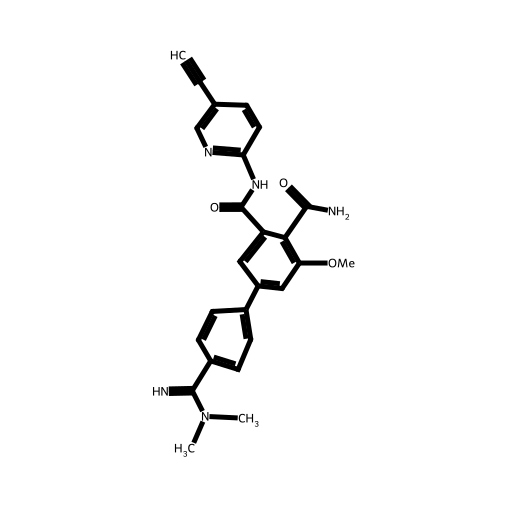 C#Cc1ccc(NC(=O)c2cc(-c3ccc(C(=N)N(C)C)cc3)cc(OC)c2C(N)=O)nc1